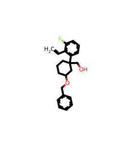 C=Cc1c(F)cccc1C1(CO)CCCC(OCc2ccccc2)C1